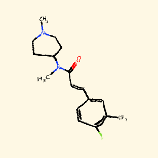 CN1CCC(N(C)C(=O)C=Cc2ccc(F)c(C(F)(F)F)c2)CC1